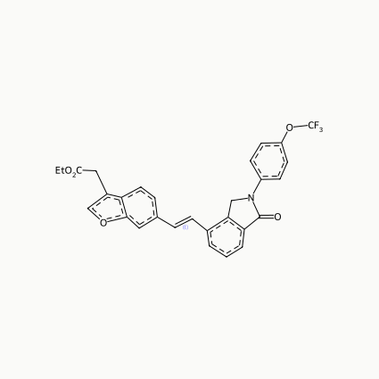 CCOC(=O)Cc1coc2cc(/C=C/c3cccc4c3CN(c3ccc(OC(F)(F)F)cc3)C4=O)ccc12